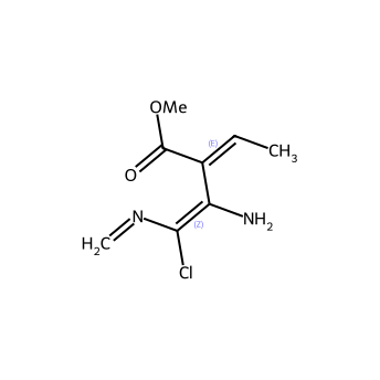 C=N/C(Cl)=C(N)\C(=C/C)C(=O)OC